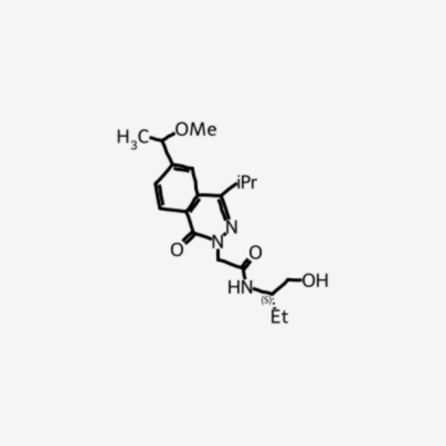 CC[C@@H](CO)NC(=O)Cn1nc(C(C)C)c2cc(C(C)OC)ccc2c1=O